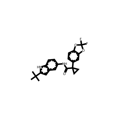 CC(C)(C)c1cc2cc(NC(=O)C3(c4ccc5c(c4)OC(F)(F)O5)CC3)ccc2[nH]1